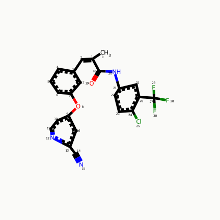 CC(=Cc1cccc(Oc2ccnc(C#N)c2)c1)C(=O)Nc1ccc(Cl)c(C(F)(F)F)c1